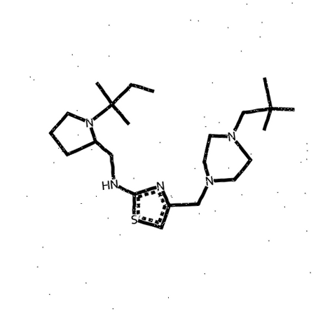 CCC(C)(C)N1CCCC1CNc1nc(CN2CCN(CC(C)(C)C)CC2)cs1